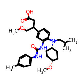 COCC(CC(=O)O)c1ccc(N(CC(C)C)[C@H]2CC[C@@H](OC)CC2)c(NC(=O)Nc2ccc(C)cc2)c1